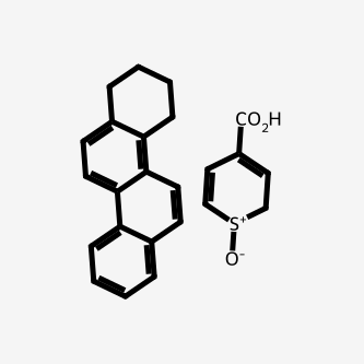 O=C(O)C1=CC[S+]([O-])C=C1.c1ccc2c(c1)ccc1c3c(ccc12)CCCC3